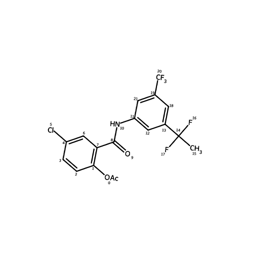 CC(=O)Oc1ccc(Cl)cc1C(=O)Nc1cc(C(C)(F)F)cc(C(F)(F)F)c1